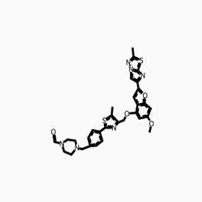 COc1cc(OCc2nc(-c3ccc(CN4CCN(C=O)CC4)cc3)sc2C)c2cc(-c3cn4nc(C)sc4n3)oc2c1